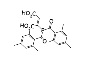 Cc1cc(C)c(C(=O)P(C(=O)c2c(C)cc(C)cc2C)C(=CC(=O)O)C(=O)O)c(C)c1